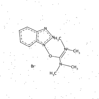 CN(C)C(On1nnc2ccccc21)=[N+](C)C.[Br-]